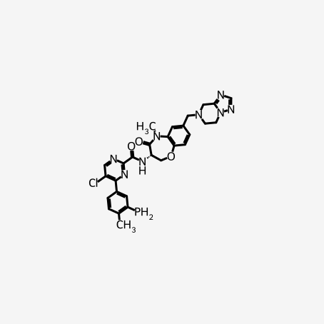 Cc1ccc(-c2nc(C(=O)N[C@H]3COc4ccc(CN5CCn6ncnc6C5)cc4N(C)C3=O)ncc2Cl)cc1P